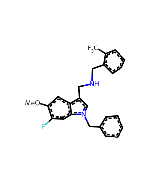 COc1cc2c(CNCc3ccccc3C(F)(F)F)cn(Cc3ccccc3)c2cc1F